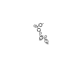 Cc1ccc(C2(c3ccc(OCc4cncc(C(=O)N5CCN(C)CC5)n4)cc3)COC2)cc1